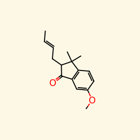 C/C=C/CC1C(=O)c2cc(OC)ccc2C1(C)C